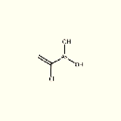 C=C(Cl)[As](O)O